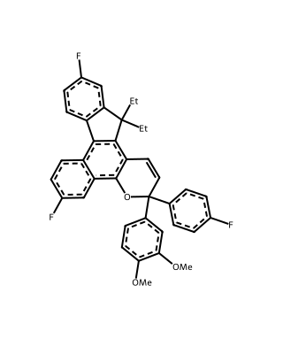 CCC1(CC)c2cc(F)ccc2-c2c1c1c(c3cc(F)ccc23)OC(c2ccc(F)cc2)(c2ccc(OC)c(OC)c2)C=C1